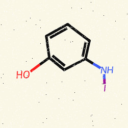 Oc1cccc(NI)c1